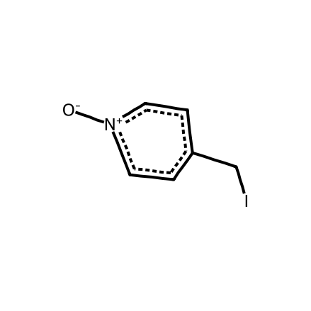 [O-][n+]1ccc(CI)cc1